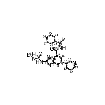 CCNC(=O)Nc1nc2cc(-c3cccnc3)cc(C(=O)N[C@H](C)c3ccccc3)n2n1